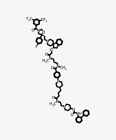 CN(CCN1CCC(OC(=O)Nc2ccccc2-c2ccccc2)CC1)C(=O)CCCC1CCN(c2ccc(C(=O)N(C)CCCN(C)C(=O)CO[C@H]3Cc4ccccc4C34CCN(CC[C@@]3(c5ccc(F)cc5)CN(C(=O)c5cc(C(F)(F)F)cc(C(F)(F)F)c5)CO3)CC4)cc2)CC1